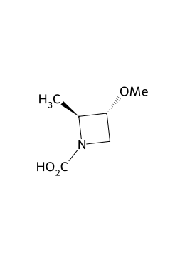 CO[C@@H]1CN(C(=O)O)[C@H]1C